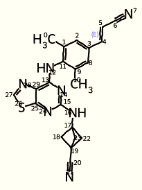 Cc1cc(/C=C/C#N)cc(C)c1Nc1nc(NC23CC(C#N)(C2)C3)nc2scnc12